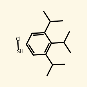 CC(C)c1cccc(C(C)C)c1C(C)C.SCl